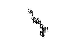 CC(C)(C)c1cc(NC(=O)Nc2ccc(-c3cn4c(n3)sc3nc(OCCCN5CCOCC5)cnc34)cc2)no1